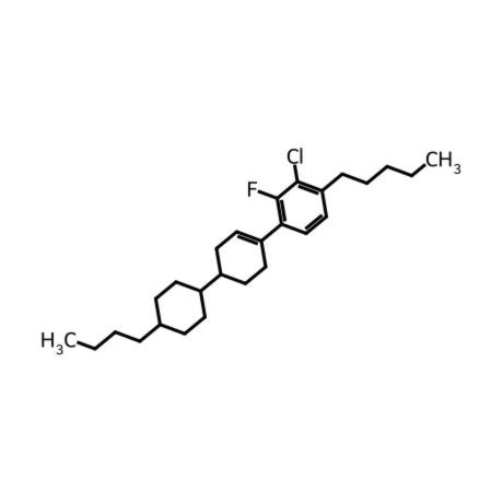 CCCCCc1ccc(C2=CCC(C3CCC(CCCC)CC3)CC2)c(F)c1Cl